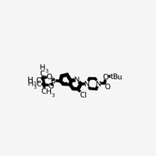 CC(C)(C)OC(=O)N1CCN(c2nc3ccc(B4OC(C)(C)C(C)(C)O4)cc3cc2Cl)CC1